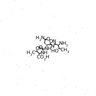 CC(O)C(NC(=O)N[C@@H](CC(N)=O)c1nc(C(N)C(C)O)no1)C(=O)O